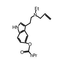 C=CCN(CC)CCc1c[nH]c2ccc(OC(=O)CCC)cc12